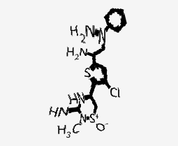 CN1C(=N)NC(c2sc(/C(N)=C/N(N)c3ccccc3)cc2Cl)C[S+]1[O-]